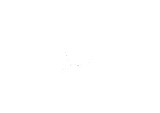 O=[Si](OO)OO